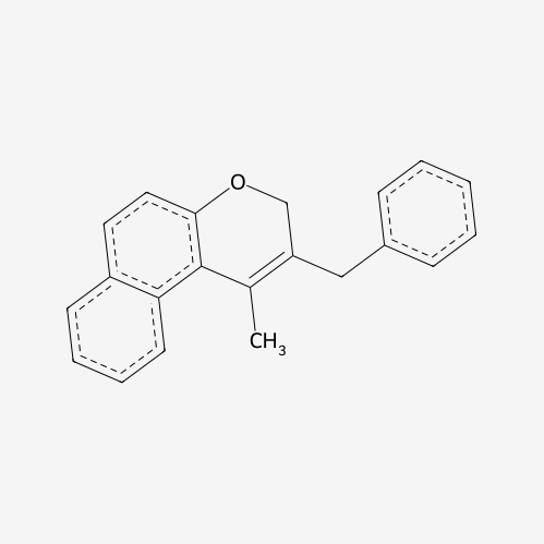 CC1=C(Cc2ccccc2)COc2ccc3ccccc3c21